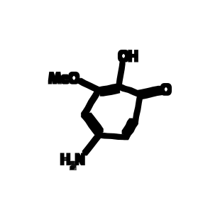 COc1cc(N)ccc(=O)c1O